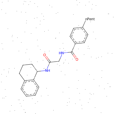 CCCCCc1ccc(C(=O)NCC(=O)NC2CCCc3ccccc32)cc1